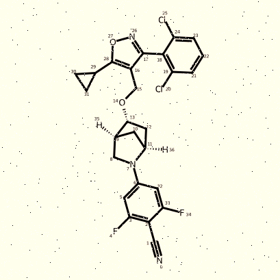 N#Cc1c(F)cc(N2C[C@@H]3C[C@H]2C[C@H]3OCc2c(-c3c(Cl)cccc3Cl)noc2C2CC2)cc1F